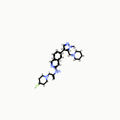 C=C(CN1CCC(F)CC1)Nc1cc2cc(-c3cnn(C)c3CN3CCCCC3)ccc2cn1